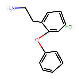 Cl.NCCc1ccccc1Oc1ccccc1